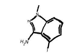 Cn1nc(N)c2c(I)cccc21